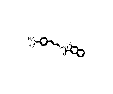 CN(C)c1ccc(C=CC=NNC(=O)c2cc3ccccc3cc2O)cc1